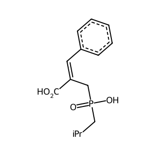 CC(C)CP(=O)(O)C/C(=C\c1ccccc1)C(=O)O